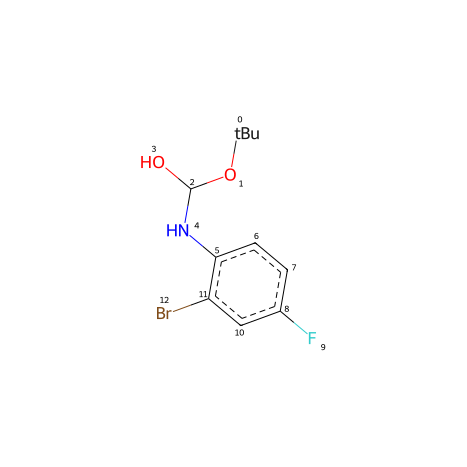 CC(C)(C)OC(O)Nc1ccc(F)cc1Br